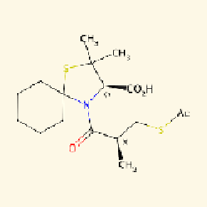 CC(=O)SC[C@@H](C)C(=O)N1[C@H](C(=O)O)C(C)(C)SC12CCCCC2